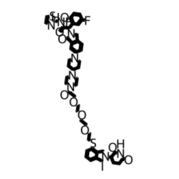 O=C1CCC(N2Cc3c(SCCOCCOCCOCC(=O)N4CCN(C5CCN(c6ccc7c(c6)C(=O)N(C(C(=O)Nc6nccs6)c6cc(F)ccc6O)C7)CC5)CC4)cccc3C2I)C(=O)N1